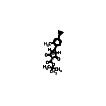 Cc1cc(C2CC2)ccc1C1[C@H]2C(=O)N(C(=O)OC(C)(C)C)C(=O)[C@@H]12